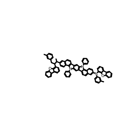 Cc1cccc(CC(c2cccc3c2oc2ccccc23)C(C)c2ccc3c(ccc4c5cc6c(cc5n(-c5ccccc5)c34)c3ccc4cc(N(c5cccc(C)c5)c5cccc7c5oc5ccccc57)ccc4c3n6-c3ccccc3)c2)c1